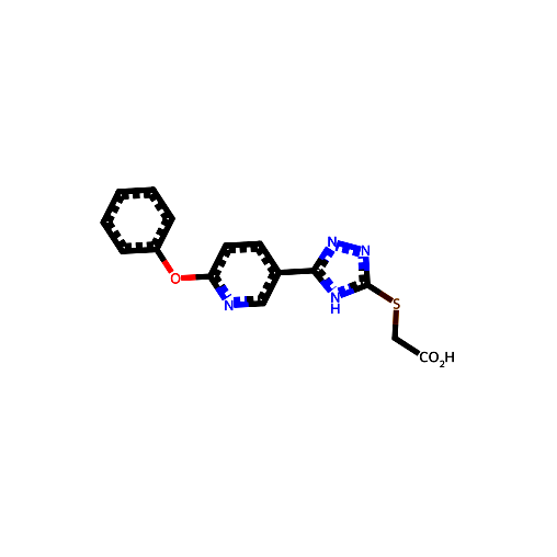 O=C(O)CSc1nnc(-c2ccc(Oc3ccccc3)nc2)[nH]1